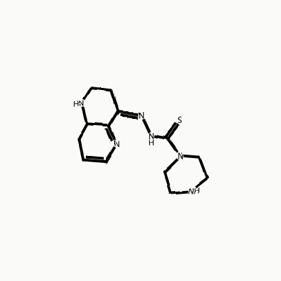 S=C(N/N=C1/CCNC2CC=CN=C12)N1CCNCC1